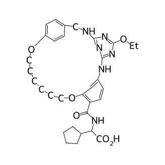 CCOc1nc2nc(n1)Nc1ccc(C(=O)NC(C(=O)O)C3CCCC3)c(c1)OCCCCCCOc1ccc(cc1)CN2